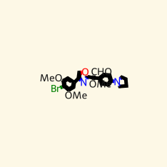 COc1cc(-c2coc(C(C=O)(OC)c3ccc(N4CCCC4)cc3)n2)cc(OC)c1Br